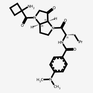 CC(C)C[C@H](NC(=O)c1ccc(N(C)C)cc1)C(=O)N1CC[C@@H]2[C@H]1C(=O)CN2C(=O)C1(N)CCC1